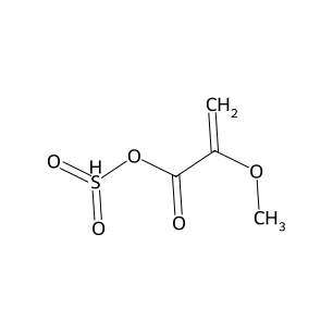 C=C(OC)C(=O)O[SH](=O)=O